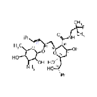 CC(C)/C=C/[C@@H](C[C@@H]1O[C@](O)(C[C@@H](O)C(C)C)C[C@H](O)[C@H]1C(=O)NCC(C)(C)F)OC1OC(C)C(O)C(N)C1O